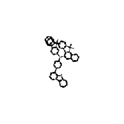 CC1(C)c2ccccc2-c2ccc(N(c3ccc(-c4cccc5c4sc4ccccc45)cc3)c3cc4ccccc4c4c3-c3cc(-c5ccccc5)ccc3C4(C)C)cc21